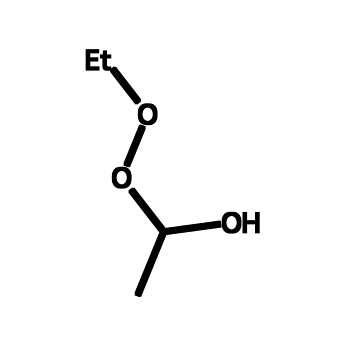 CCOOC(C)O